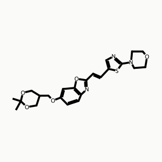 CC1(C)OCC(COc2ccc3nc(/C=C/c4cnc(N5CCOCC5)s4)oc3c2)CO1